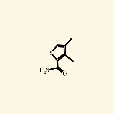 Cc1csc(C(N)=O)c1C